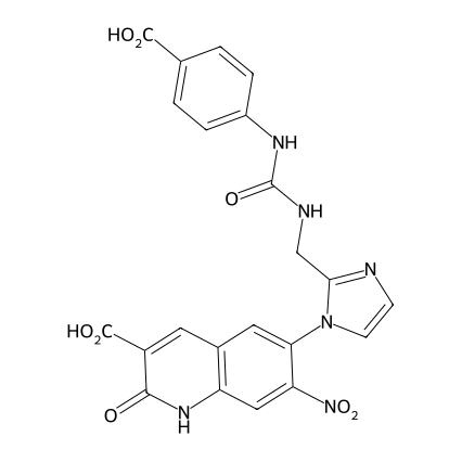 O=C(NCc1nccn1-c1cc2cc(C(=O)O)c(=O)[nH]c2cc1[N+](=O)[O-])Nc1ccc(C(=O)O)cc1